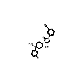 Cl.N#Cc1cccc(N2CCN([C@H]3CC[C@](CN)(c4cccc(Cl)c4)CC3)C2=O)c1